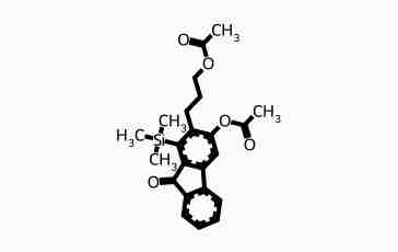 CC(=O)OCCCc1c(OC(C)=O)cc2c(c1[Si](C)(C)C)C(=O)c1ccccc1-2